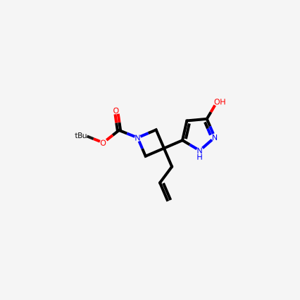 C=CCC1(c2cc(O)n[nH]2)CN(C(=O)OC(C)(C)C)C1